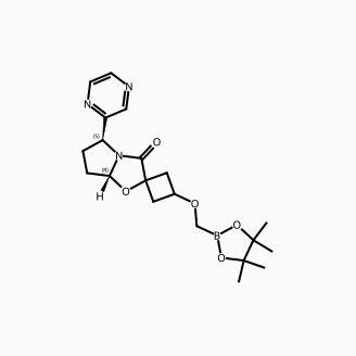 CC1(C)OB(COC2CC3(C2)O[C@@H]2CC[C@@H](c4cnccn4)N2C3=O)OC1(C)C